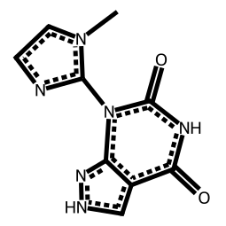 Cn1ccnc1-n1c(=O)[nH]c(=O)c2c[nH]nc21